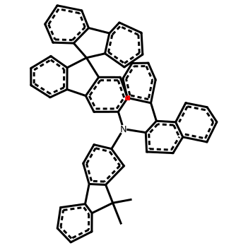 CC1(C)c2ccccc2-c2ccc(N(c3ccc4c(c3)-c3ccccc3C43c4ccccc4-c4ccccc43)c3ccc4ccccc4c3-c3ccccc3)cc21